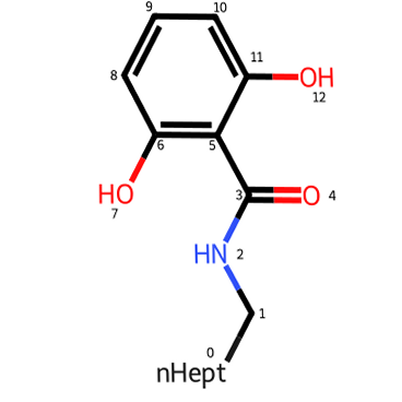 CCCCCCCCNC(=O)c1c(O)cccc1O